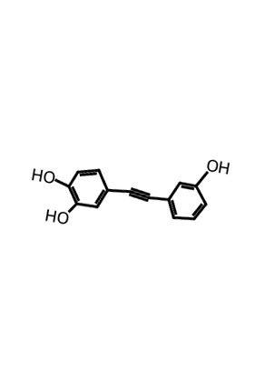 Oc1cccc(C#Cc2ccc(O)c(O)c2)c1